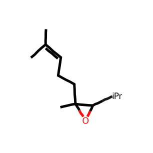 CC(C)=CCCC1(C)OC1C(C)C